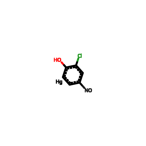 O=Nc1ccc(O)c(Cl)c1.[Hg]